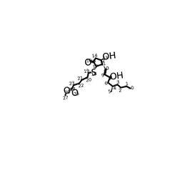 CCCC[C@@H](C)C[C@H](O)/C=C/[C@H]1[C@H](O)CC(=O)[C@@H]1SCCCCCC(=O)OC